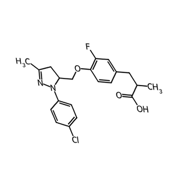 CC1=NN(c2ccc(Cl)cc2)C(COc2ccc(CC(C)C(=O)O)cc2F)C1